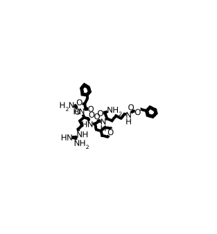 N=C(N)NCCCC(NC(=O)C(Cc1ccccc1)OC(N)=O)C(=O)NC(CC1CCOCC1)C(=O)NC(CCCCNC(=O)OCc1ccccc1)C(N)=O